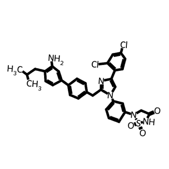 CC(C)Cc1ccc(-c2ccc(Cc3nc(-c4ccc(Cl)cc4Cl)cn3-c3cccc(N4CC(=O)NS4(=O)=O)c3)cc2)cc1N